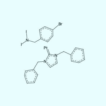 Brc1ccc(CN(I)I)cc1.[Pt]=[c]1n(Cc2ccccc2)ccn1Cc1ccccc1